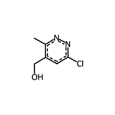 Cc1nnc(Cl)cc1CO